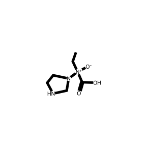 CC[N+]([O-])(C(=O)O)N1CCNC1